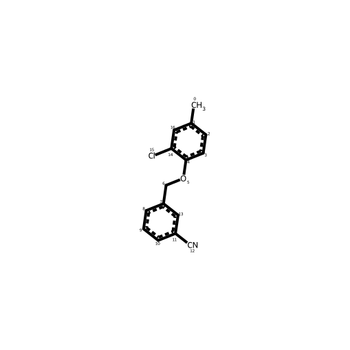 Cc1ccc(OCc2cccc(C#N)c2)c(Cl)c1